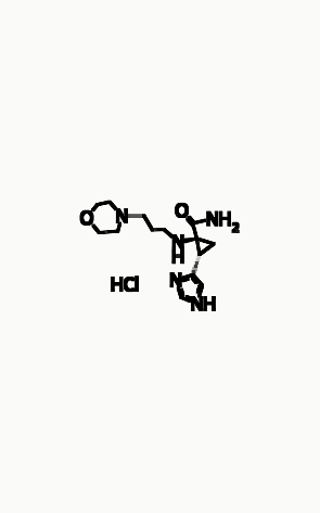 Cl.NC(=O)[C@]1(NCCCN2CCOCC2)C[C@@H]1c1c[nH]cn1